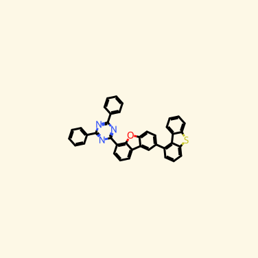 c1ccc(-c2nc(-c3ccccc3)nc(-c3cccc4c3oc3ccc(-c5cccc6sc7ccccc7c56)cc34)n2)cc1